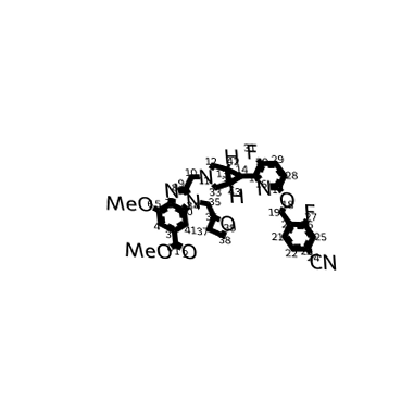 COC(=O)c1cc(OC)c2nc(CN3C[C@@H]4C(c5nc(OCc6ccc(C#N)cc6F)ccc5F)[C@@H]4C3)n(CC3CCO3)c2c1